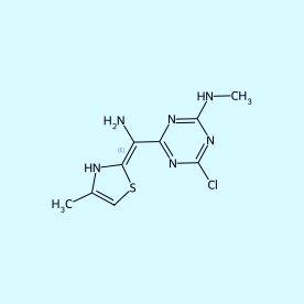 CNc1nc(Cl)nc(/C(N)=C2/NC(C)=CS2)n1